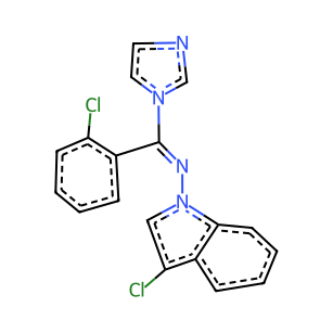 Clc1ccccc1/C(=N\n1cc(Cl)c2ccccc21)n1ccnc1